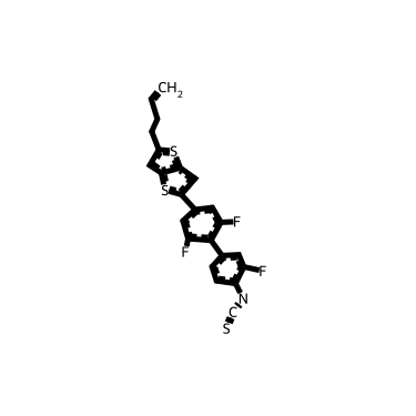 C=CCCc1cc2sc(-c3cc(F)c(-c4ccc(N=C=S)c(F)c4)c(F)c3)cc2s1